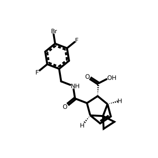 O=C(NCc1cc(F)c(Br)cc1F)C1[C@H](C(=O)O)[C@H]2C=C[C@@H]1C21CC1